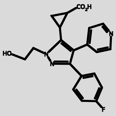 O=C(O)C1CC1c1c(-c2ccncc2)c(-c2ccc(F)cc2)nn1CCO